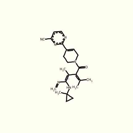 C=N/C(NC1(C)CC1)=C(\C)C(C(=O)N1CC=C(c2nccc(C#N)n2)CC1)=C(C)C